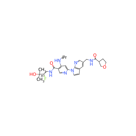 CC(C)Nc1cc(-n2ccc3cc(CNC(=O)C4CCOC4)cnc32)ncc1C(=O)NC[C@@H](F)C(C)(C)O